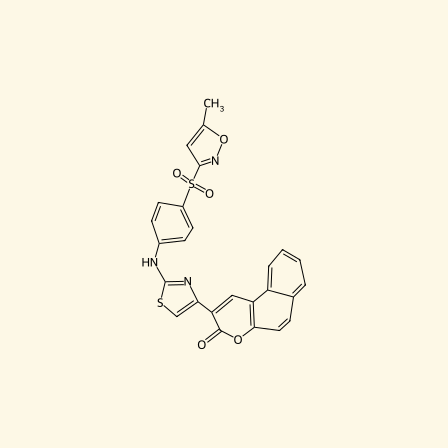 Cc1cc(S(=O)(=O)c2ccc(Nc3nc(-c4cc5c(ccc6ccccc65)oc4=O)cs3)cc2)no1